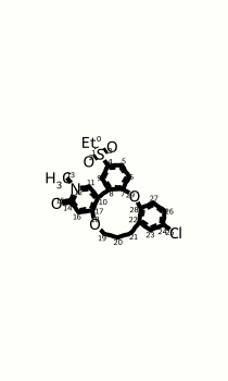 CCS(=O)(=O)c1ccc2c(c1)-c1cn(C)c(=O)cc1OCCCc1cc(Cl)ccc1O2